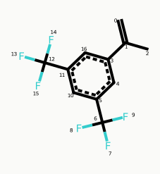 C=C(C)c1cc(C(F)(F)F)cc(C(F)(F)F)c1